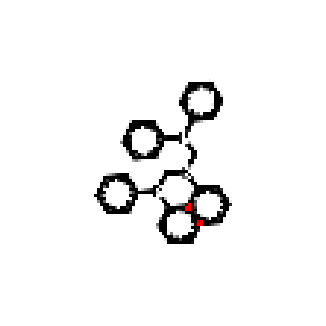 c1ccc(B(CP(c2ccccc2)c2ccccc2)CP(c2ccccc2)c2ccccc2)cc1